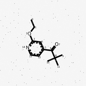 CCOc1cc(C(=O)C(C)(C)C)ccn1